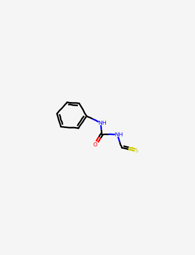 O=C(NC=S)Nc1ccccc1